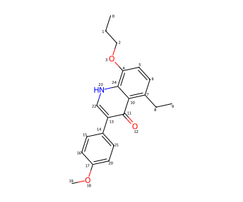 CCCOc1ccc(CC)c2c(=O)c(-c3ccc(OC)cc3)c[nH]c12